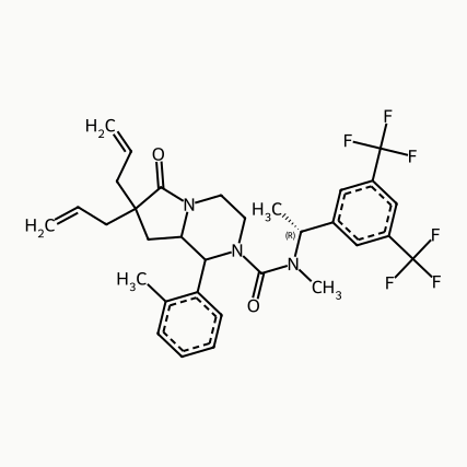 C=CCC1(CC=C)CC2C(c3ccccc3C)N(C(=O)N(C)[C@H](C)c3cc(C(F)(F)F)cc(C(F)(F)F)c3)CCN2C1=O